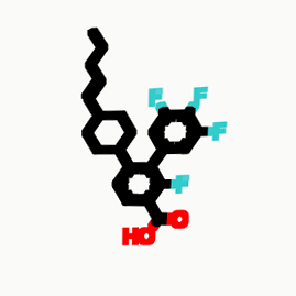 CCCC=CC1CCC(c2ccc(C(=O)O)c(F)c2-c2cc(F)c(F)c(F)c2)CC1